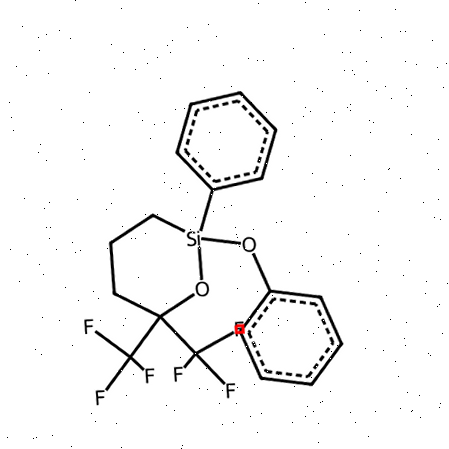 FC(F)(F)C1(C(F)(F)F)CCC[Si](Oc2ccccc2)(c2ccccc2)O1